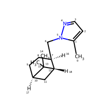 Cc1ccnn1C[C@@H]1CC[C@@H]2C[C@@H]1C2(C)C